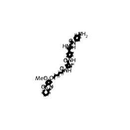 COc1cc2c(cc1OCCCCCC(=O)Nc1cc(C(=O)Nc3ccc(-c4c[nH]c(C(=O)Nc5ccc(N)cc5)c4)cc3)n(C)c1)N=CC1CCCCCN1C2=O